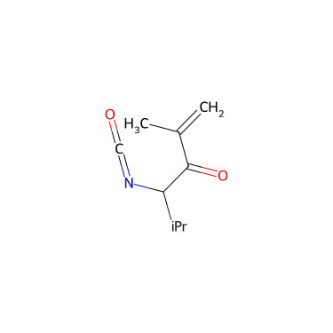 C=C(C)C(=O)C(N=C=O)C(C)C